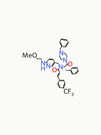 COCCNc1ccc(CN(C(=O)/C=C/c2ccc(C(F)(F)F)cc2)[C@@H](Cc2ccccc2)C(=O)N2CCN(Cc3ccccc3)CC2)cn1